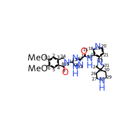 COc1cc2c(cc1OC)C(=O)N(c1nc(C(=O)Nc3cnccc3N3CC4(CCNCC4)C3)n[nH]1)C2